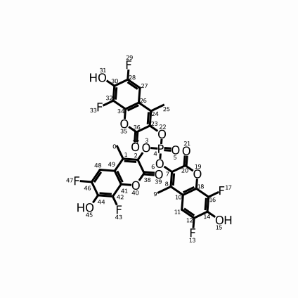 Cc1c(OP(=O)(Oc2c(C)c3cc(F)c(O)c(F)c3oc2=O)Oc2c(C)c3cc(F)c(O)c(F)c3oc2=O)c(=O)oc2c(F)c(O)c(F)cc12